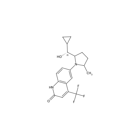 CC1CCC([C@H](O)C2CC2)N1c1ccc2[nH]c(=O)cc(C(F)(F)F)c2c1